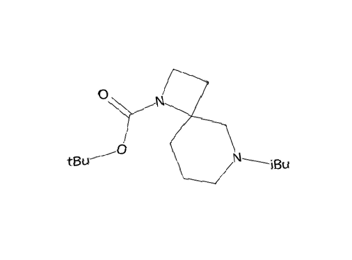 CCC(C)N1CCCC2(CCN2C(=O)OC(C)(C)C)C1